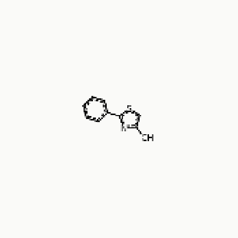 [CH]c1csc(-c2ccccc2)n1